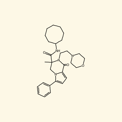 CC1(C(=O)NC2CCCCCCC2)Cn2c(ccc2-c2ccccc2)C(=O)N1CCN1CCOCC1